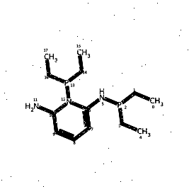 CCP(CC)NC1=CC=CC(N)N1P(CC)CC